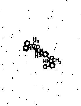 Cc1cccc(Cl)c1NC(=O)c1ccc2nc(NC(=O)N[C@H](C)c3cccc4ccccc34)sc2c1